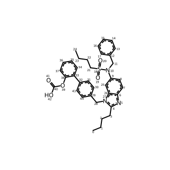 CCCCc1nc2ccc(N(Cc3ccccc3)S(=O)(=O)CCCC)cc2n1Cc1ccc(-c2ccccc2OC(=O)O)cc1